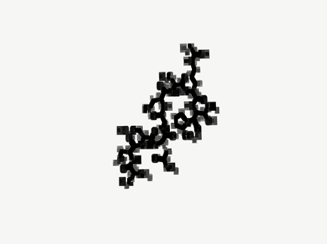 CC(C)C[C@H](NC(=O)CNC(=O)[C@H](CC(N)=O)NC(=O)[C@H](CC(=O)O)NC(=O)[C@H](CC(C)C)NC(=O)[C@H](C)N)C(=O)N[C@@H](C)C(=O)N[C@@H](CCCNC(=N)N)C(=O)N[C@H](C(=O)N1CCC[C@H]1C(=O)O)[C@@H](C)O